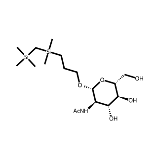 CC(=O)N[C@H]1[C@H](OCCC[Si](C)(C)C[Si](C)(C)C)O[C@H](CO)[C@@H](O)[C@@H]1O